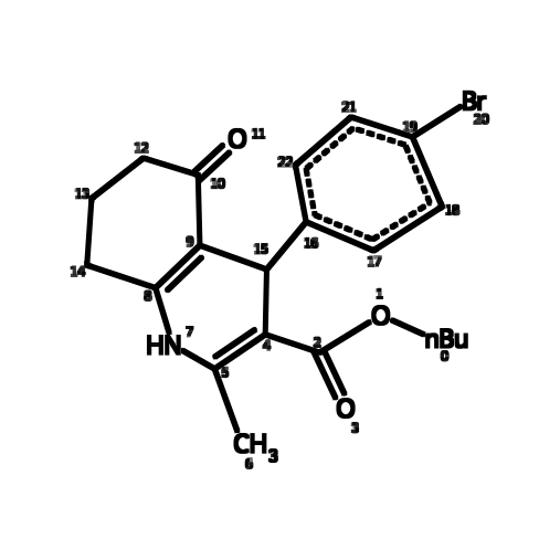 CCCCOC(=O)C1=C(C)NC2=C(C(=O)CCC2)C1c1ccc(Br)cc1